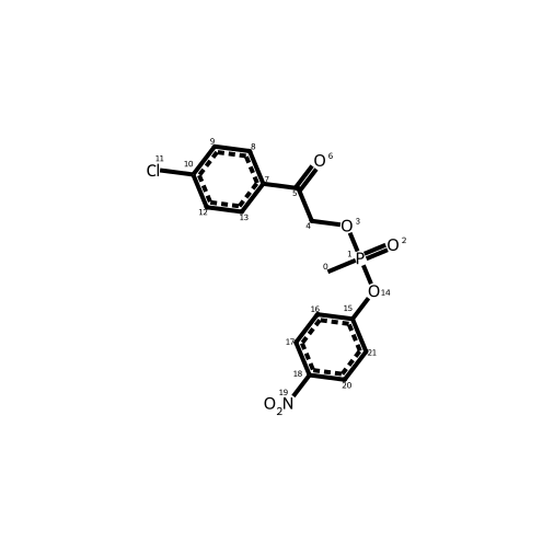 CP(=O)(OCC(=O)c1ccc(Cl)cc1)Oc1ccc([N+](=O)[O-])cc1